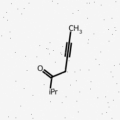 CC#CCC(=O)C(C)C